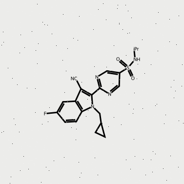 CC(C)NS(=O)(=O)c1cnc(-c2c(C#N)c3cc(F)ccc3n2CC2CC2)nc1